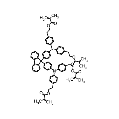 C=C(C)C(=O)OCCc1ccc(N(c2ccc(CCOC(=O)C(=C)C)cc2)c2ccc(C3(c4ccc(N(c5ccc(CCOC(=O)C(=C)C)cc5)c5ccc(CCOC(=O)C(=C)C)cc5)cc4)c4ccccc4-c4ccccc43)cc2)cc1